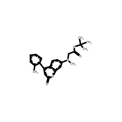 Cc1ccccc1-c1cc(=O)oc2cc(N(C)CC(=O)OC(C)(C)C)ccc12